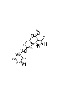 COC(=O)c1c(-c2cccc(OCc3cccc(Cl)c3)c2)n[nH]c1C